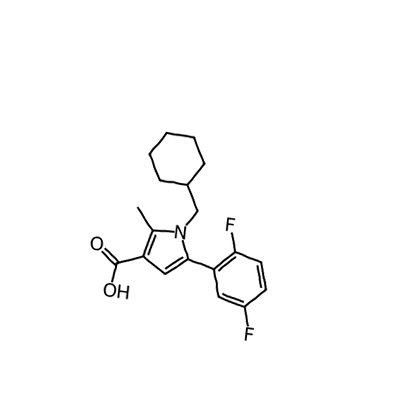 Cc1c(C(=O)O)cc(-c2cc(F)ccc2F)n1CC1CCCCC1